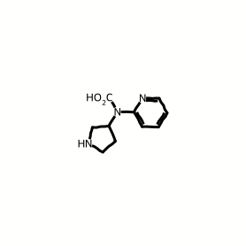 O=C(O)N(c1ccccn1)C1CCNC1